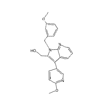 COc1cccc(Cn2c(CO)c(-c3ccc(OC)nc3)c3cccnc32)c1